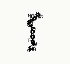 CCN(C)S(=O)(=O)Nc1ccc(F)c(Oc2ccc3ncc([C@H]4COC5(CCN(C6CCC(c7cc8c(cc7F)c(N7CCC(=O)NC7=O)nn8C)CC6)CC5)C4)nc3c2)c1C#N